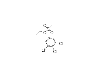 CCOS(C)(=O)=O.Clc1cccc(Cl)c1Cl